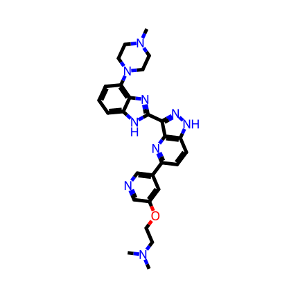 CN(C)CCOc1cncc(-c2ccc3[nH]nc(-c4nc5c(N6CCN(C)CC6)cccc5[nH]4)c3n2)c1